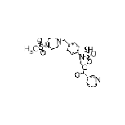 CS(=O)(=O)N1CCN(Cc2ccc(N(COC(=O)c3cccnc3)S(=O)(=O)S)cc2)CC1